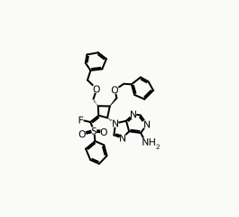 Nc1ncnc2c1ncn2[C@@H]1/C(=C(/F)S(=O)(=O)c2ccccc2)[C@H](COCc2ccccc2)[C@H]1COCc1ccccc1